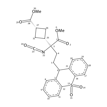 COC(=O)C(CCC1c2ccccc2S(=O)(=O)c2ccccc21)(N=C=O)[C@H]1C[C@@H](C(=O)OC)C1